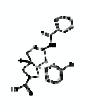 O=C(NC1=NC[C@H]2CN(C(=O)O)C[C@]2(c2cccc(Br)c2)S1)c1ccccc1